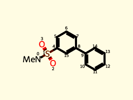 CNS(=O)(=O)c1cccc(-c2ccccc2)c1